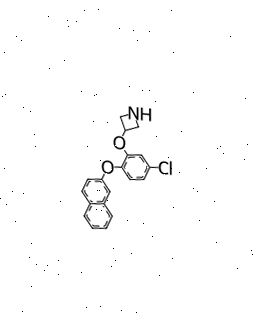 Clc1ccc(Oc2ccc3ccccc3c2)c(OC2CNC2)c1